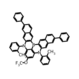 Cc1ccccc1N1c2cc3cc(-c4ccccc4)ccc3cc2B2c3cc4ccc(-c5ccccc5)cc4cc3N(c3ccccc3C)c3cc(OC(F)(F)F)cc1c32